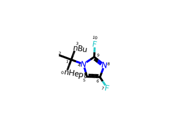 CCCCCCCC(C)(CCCC)n1cc(F)nc1F